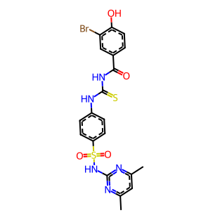 Cc1cc(C)nc(NS(=O)(=O)c2ccc(NC(=S)NC(=O)c3ccc(O)c(Br)c3)cc2)n1